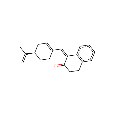 C=C(C)[C@H]1CC=C(C=C2C(=O)CCc3ccccc32)CC1